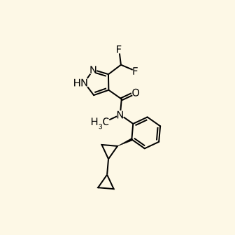 CN(C(=O)c1c[nH]nc1C(F)F)c1ccccc1[C@@H]1CC1C1CC1